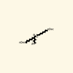 CCCCCCCCCCCCCCCCCCOC(=O)C(CCCCCCCCCCCCCCCC)CCCC(C)C